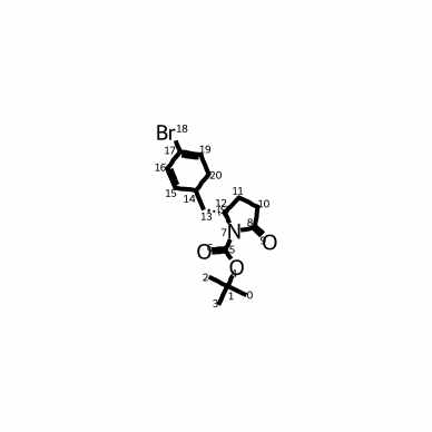 CC(C)(C)OC(=O)N1C(=O)CC[C@H]1CC1C=CC(Br)=CC1